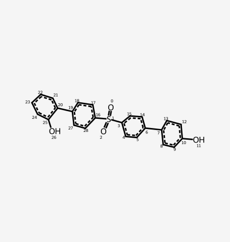 O=S(=O)(c1ccc(-c2ccc(O)cc2)cc1)c1ccc(-c2ccccc2O)cc1